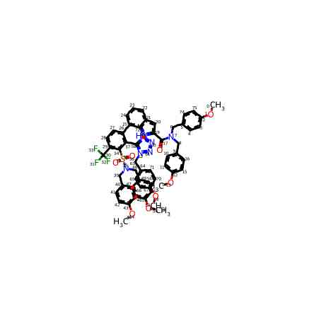 COc1ccc(CN(Cc2ccc(OC)cc2)C(=O)c2cc3cccc(-c4ccc(C(F)(F)F)c(S(=O)(=O)N(Cc5ccc(OC)cc5)Cc5ccc(OC)cc5)c4-c4nnnn4Cc4ccc(OC)cc4)c3[nH]2)cc1